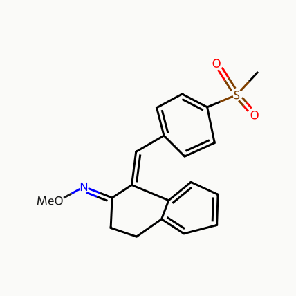 CON=C1CCc2ccccc2/C1=C\c1ccc(S(C)(=O)=O)cc1